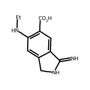 CCNc1cc2c(cc1C(=O)O)C(=N)NC2